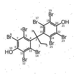 CCC(C)(c1c(Br)c(Br)c(O)c(Br)c1Br)c1c(Br)c(Br)c(O)c(Br)c1Br